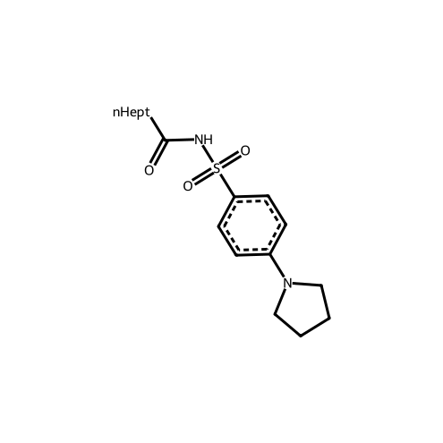 CCCCCCCC(=O)NS(=O)(=O)c1ccc(N2CCCC2)cc1